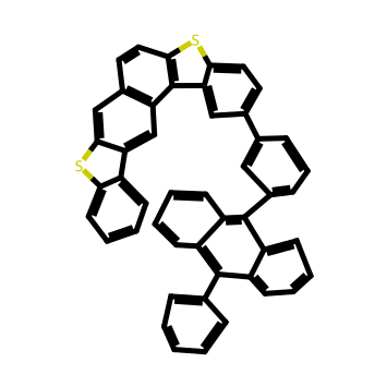 c1ccc(-c2c3ccccc3c(-c3cccc(-c4ccc5sc6ccc7cc8sc9ccccc9c8cc7c6c5c4)c3)c3ccccc23)cc1